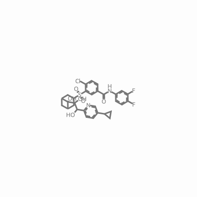 O=C(Nc1ccc(F)c(F)c1)c1ccc(Cl)c(S(=O)(=O)C2CC3CC(C2)C3(O)C(O)C(O)c2ccc(C3CC3)cn2)c1